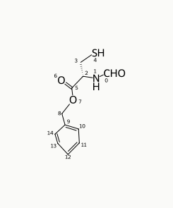 O=CN[C@@H](CS)C(=O)OCc1ccccc1